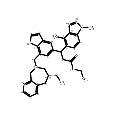 CCOC(=O)CC(c1cc(CN2Cc3ncccc3C[C@@H](CC)C2)c2sccc2c1)c1ccc2c(nnn2C)c1C